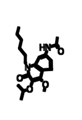 CCCCCCn1c(=O)c(OC(C)C)c(OC)c2ccc(NC(C)=O)cc21